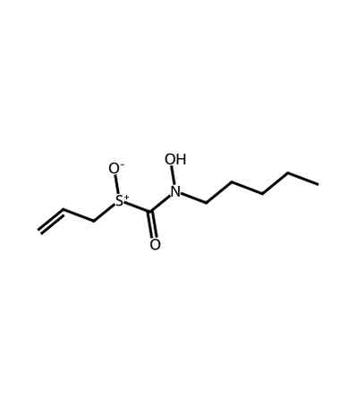 C=CC[S+]([O-])C(=O)N(O)CCCCC